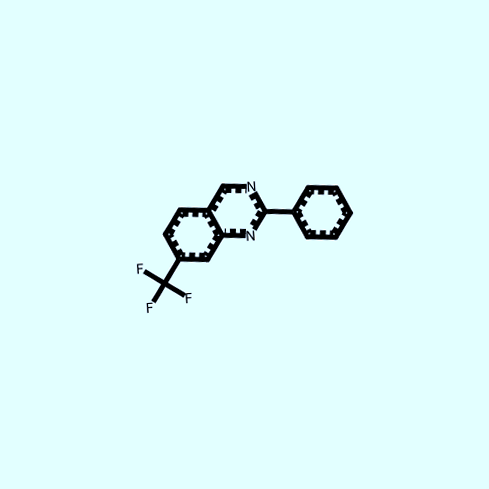 FC(F)(F)c1ccc2cnc(-c3ccccc3)nc2c1